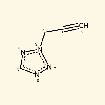 C#CCn1n[c]nn1